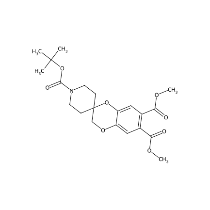 COC(=O)c1cc2c(cc1C(=O)OC)OC1(CCN(C(=O)OC(C)(C)C)CC1)CO2